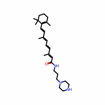 CC1=C(/C=C/C(C)=C/C=C/C(C)=C/C(=O)NCCCN2CCNCC2)C(C)(C)CCC1